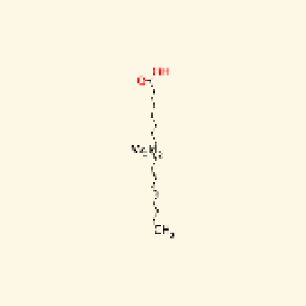 CCCCC=CC=CC=CCCCCCCCC(=O)O.[MgH2]